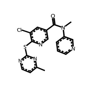 Cc1ccnc(Sc2ncc(C(=O)N(C)c3cccnc3)cc2Cl)n1